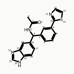 CC(=O)NC(c1cccc(-c2nccs2)c1)c1ccc2[nH]cnc2c1